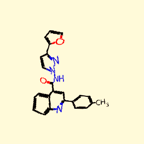 Cc1ccc(-c2cc(C(=O)Nn3ccc(-c4ccco4)n3)c3ccccc3n2)cc1